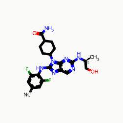 C[C@@H](CO)Nc1ncc2nc(Nc3c(F)cc(C#N)cc3F)n(C3CCC(C(N)=O)CC3)c2n1